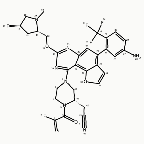 C=C(F)C(=O)N1CCN(c2nc(OC[C@@H]3C[C@@H](F)CN3C)nc3cc(-c4cc(N)ccc4C(F)(F)F)c4ccoc4c23)C[C@@H]1CC#N